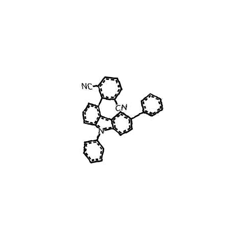 N#Cc1cccc(C#N)c1-c1cccc2c1c1cc(-c3ccccc3)ccc1n2-c1ccccc1